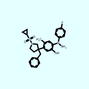 CCCc1cc(C2(Cc3ccccc3)CCN(S(=O)(=O)C3CC3)C2)c(C)cc1N(N)c1ccc(F)cc1